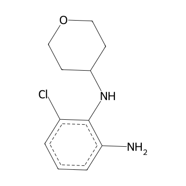 Nc1cccc(Cl)c1NC1CCOCC1